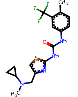 Cc1ccc(NC(=O)Nc2nc(CN(C)C3CC3)cs2)cc1C(F)(F)F